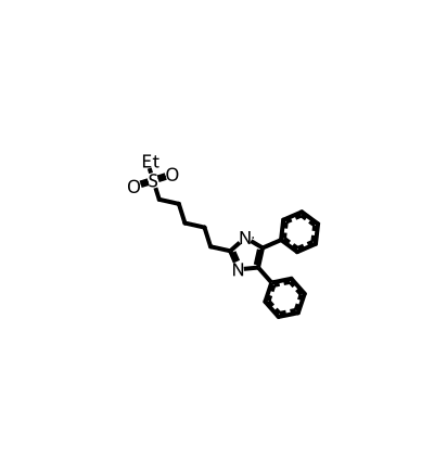 CCS(=O)(=O)CCCCCC1=NC(c2ccccc2)=C(c2ccccc2)[N]1